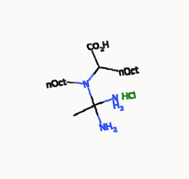 CCCCCCCCC(C(=O)O)N(CCCCCCCC)C(C)(N)N.Cl